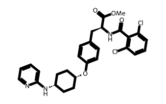 COC(=O)[C@H](Cc1ccc(O[C@H]2CC[C@@H](Nc3ccccn3)CC2)cc1)NC(=O)c1c(Cl)cccc1Cl